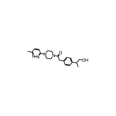 Cc1ccc(N2CCN(C(=O)Cc3ccc(C(C)CO)cc3)CC2)nn1